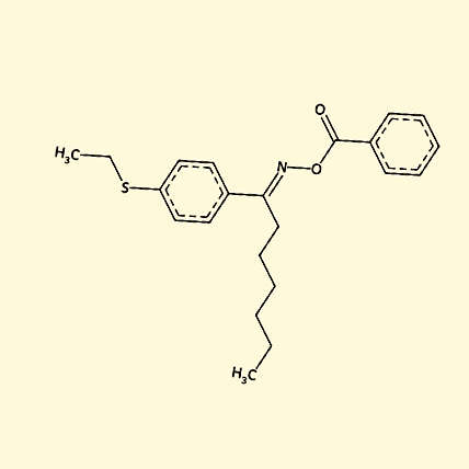 CCCCCC/C(=N\OC(=O)c1ccccc1)c1ccc(SCC)cc1